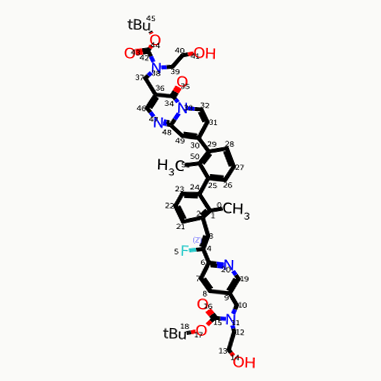 Cc1c(/C=C(\F)c2ccc(CN(CCO)C(=O)OC(C)(C)C)cn2)cccc1-c1cccc(-c2ccn3c(=O)c(CN(CCO)C(=O)OC(C)(C)C)cnc3c2)c1C